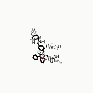 CC(=O)O.Cc1cnc(NCc2ccc(CN(C(=O)C(c3ccccc3)c3ccccc3)[C@H](CCCNC(=N)N)C(N)=O)cc2)[nH]c1=O